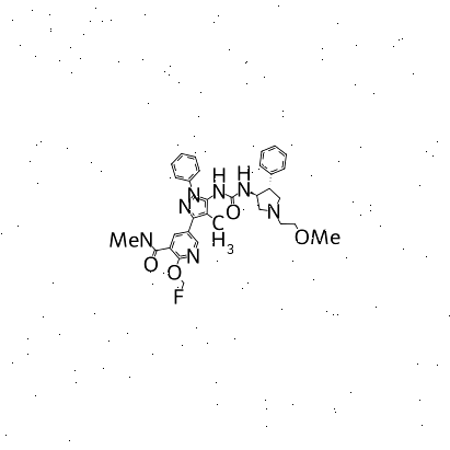 CNC(=O)c1cc(-c2nn(-c3ccccc3)c(NC(=O)N[C@@H]3CN(CCOC)C[C@H]3c3ccccc3)c2C)cnc1OCF